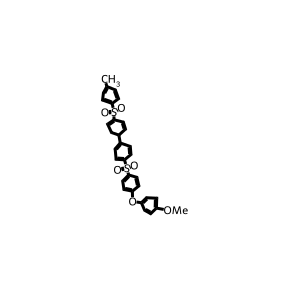 COc1ccc(Oc2ccc(S(=O)(=O)c3ccc(C4C=CC(S(=O)(=O)c5ccc(C)cc5)=CC4)cc3)cc2)cc1